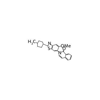 COc1cc2nc(C3CCC(C)CC3)sc2cc1-n1ccc2ccccc2c1=O